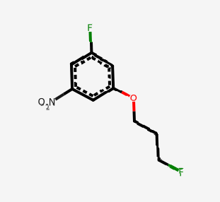 O=[N+]([O-])c1cc(F)cc(OCCCF)c1